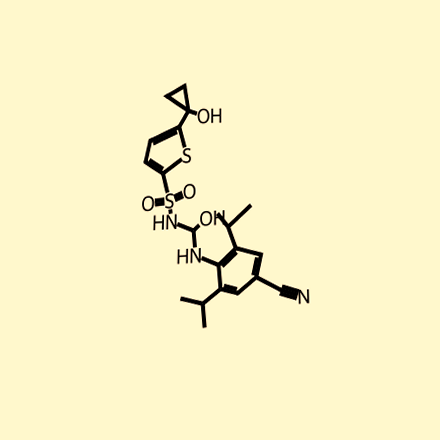 CC(C)c1cc(C#N)cc(C(C)C)c1NC(O)NS(=O)(=O)c1ccc(C2(O)CC2)s1